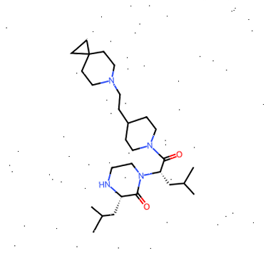 CC(C)C[C@@H]1NCCN([C@@H](CC(C)C)C(=O)N2CCC(CCN3CCC4(CC3)CC4)CC2)C1=O